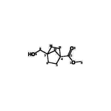 COC(=O)C12CCC(CO)(CC1)C2